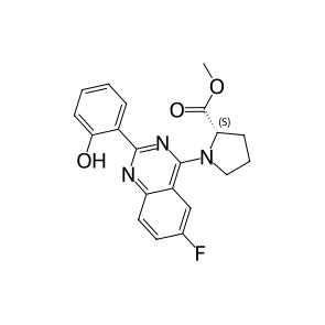 COC(=O)[C@@H]1CCCN1c1nc(-c2ccccc2O)nc2ccc(F)cc12